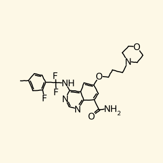 Cc1ccc(C(F)(F)Nc2ncnc3c(C(N)=O)cc(OCCCN4CCOCC4)cc23)c(F)c1